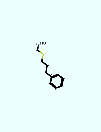 O=CCSCCCc1ccccc1